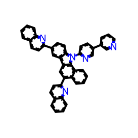 c1cncc(-c2ccc(-n3c4ccc(-c5ccc6ccccc6n5)cc4c4cc(-c5ccc6ccccc6n5)c5ccccc5c43)nc2)c1